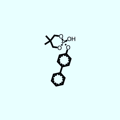 CC1(C)CO[P](O)(Oc2ccc(-c3ccccc3)cc2)OC1